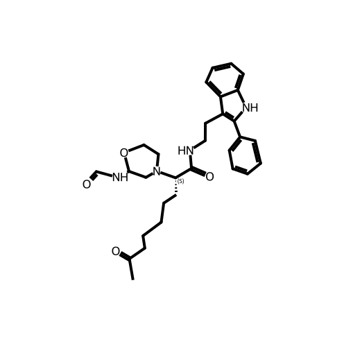 CC(=O)CCCCC[C@@H](C(=O)NCCc1c(-c2ccccc2)[nH]c2ccccc12)N1CCOC(NC=O)C1